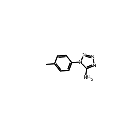 Cc1ccc(-n2nnnc2N)cc1